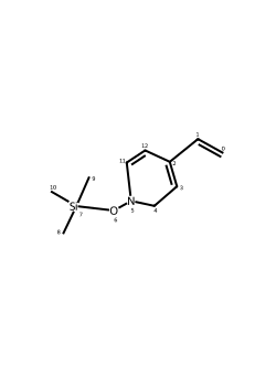 C=CC1=CCN(O[Si](C)(C)C)C=C1